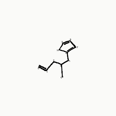 C=CCC(C)CC1=CC=CC1